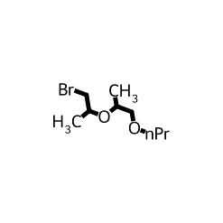 CCCOCC(C)OC(C)CBr